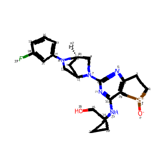 [O-][S+]1CCc2nc(N3C[C@H]4CC3CN4c3cccc(F)c3)nc(NC3(CO)CC3)c21